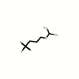 CC(C)OCCCC(F)(F)F